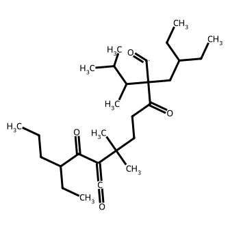 CCCC(CC)C(=O)C(=C=O)C(C)(C)CCC(=O)C([C]=O)(CC(CC)CC)C(C)C(C)C